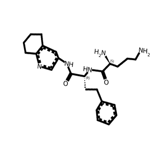 NCCC[C@H](N)C(=O)N[C@H](CCc1ccccc1)C(=O)Nc1cnc2c(c1)CCCC2